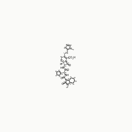 Cn1nnnc1SCC1=C(C(=O)O)N2C(=O)C(NC(=O)C(NC(=O)n3c(=O)n(C)c4ccccc43)c3cccs3)[C@H]2SC1